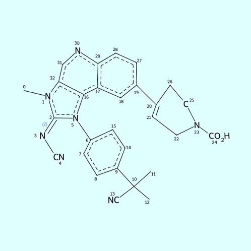 Cn1/c(=N/C#N)n(-c2ccc(C(C)(C)C#N)cc2)c2c3cc(C4=CCN(C(=O)O)CC4)ccc3ncc21